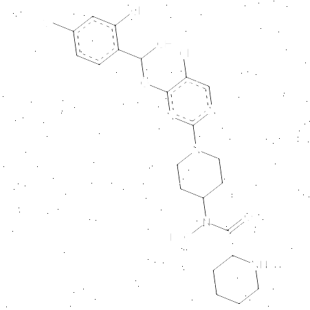 CC(Oc1nc(N2CCC(N(C)C(=O)[C@H]3CCCCN3)CC2)ncc1Cl)c1ccc(Cl)cc1Cl